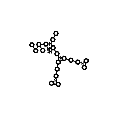 c1ccc(-c2ccc(N(c3ccc(-c4cccc(-c5ccccc5-c5ccccc5)c4-c4ccccc4)cc3)c3ccc(-c4ccc(-n5c6ccc(-c7ccc(-c8ccc(-n9c%10ccccc%10c%10ccccc%109)cc8)cc7)cc6c6cc(-c7ccc(-c8ccc(-n9c%10ccccc%10c%10ccccc%109)cc8)cc7)ccc65)cc4)c4nsnc34)cc2)cc1